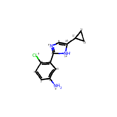 Nc1ccc(Cl)c(-c2ncc(C3CC3)[nH]2)c1